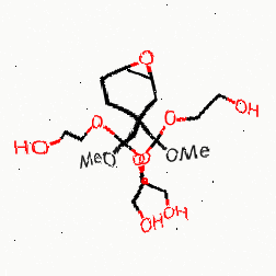 COC(OCCO)(OCCO)C1(C(OC)(OCCO)OCCO)CCC2OC2C1